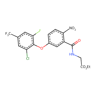 CCOC(=O)CNC(=O)c1cc(Oc2c(F)cc(C(F)(F)F)cc2Cl)ccc1[N+](=O)[O-]